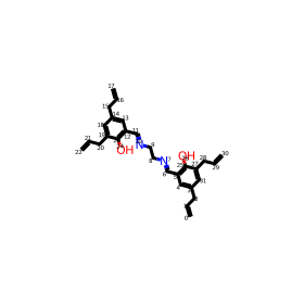 C=CCc1cc(C=NCCN=Cc2cc(CC=C)cc(CC=C)c2O)c(O)c(CC=C)c1